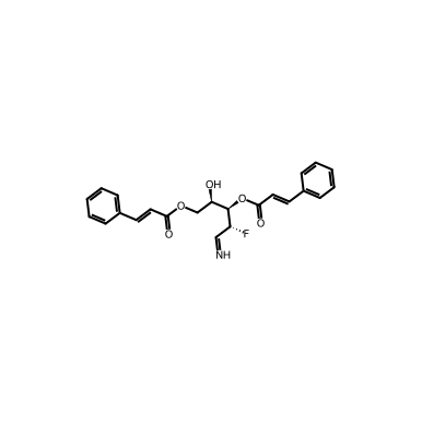 N=C[C@@H](F)[C@H](OC(=O)/C=C/c1ccccc1)[C@H](O)COC(=O)/C=C/c1ccccc1